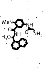 CNc1ccc(NC(=O)CN)cc1C(=O)N[C@H](C)c1cccc2ccccc12